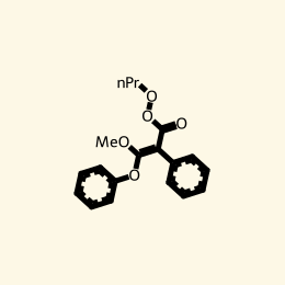 CCCOOC(=O)C(=C(OC)Oc1ccccc1)c1ccccc1